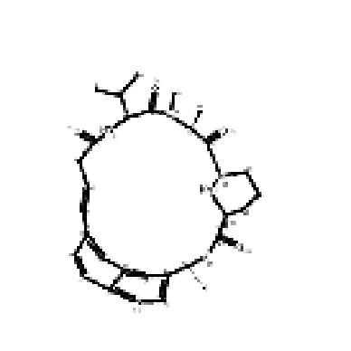 CC(C)[C@@H]1NC(=O)C/C=C/c2ccc3ncc(cc3c2)[C@@H](C)OC(=O)[C@@H]2CCCN(N2)C(=O)[C@H](C)N(C)C1=O